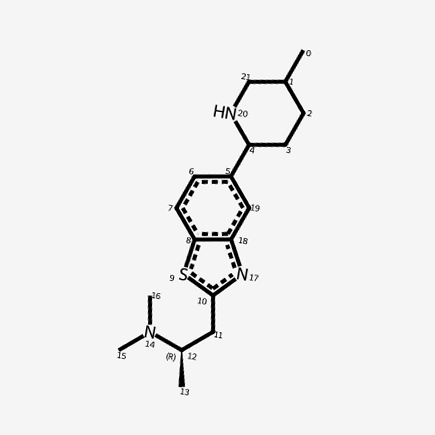 CC1CCC(c2ccc3sc(C[C@@H](C)N(C)C)nc3c2)NC1